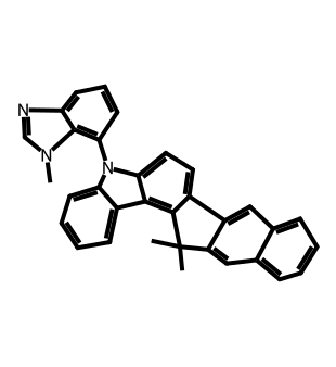 Cn1cnc2cccc(-n3c4ccccc4c4c5c(ccc43)-c3cc4ccccc4cc3C5(C)C)c21